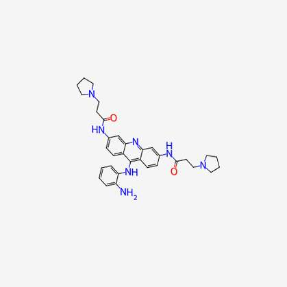 Nc1ccccc1Nc1c2ccc(NC(=O)CCN3CCCC3)cc2nc2cc(NC(=O)CCN3CCCC3)ccc12